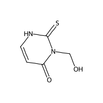 O=c1cc[nH]c(=S)n1CO